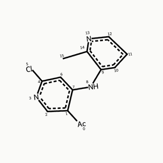 CC(=O)c1cnc(Cl)cc1Nc1cccnc1C